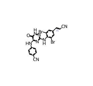 N#C/C=C/c1cc(Br)c(Nc2n[nH]c(=O)c(Nc3ccc(C#N)cc3)n2)c(Br)c1